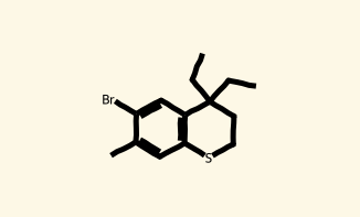 CCC1(CC)CCSc2cc(C)c(Br)cc21